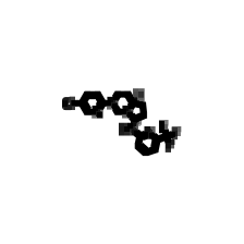 FC(F)(F)c1cccc(N[C@@H]2CC[C@H]3CCN(c4ccc(Cl)cn4)CN32)n1